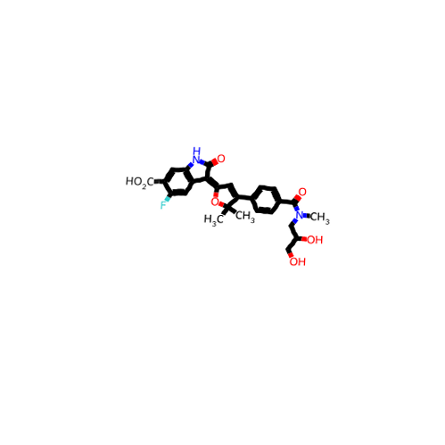 CN(CC(O)CO)C(=O)c1ccc(C2=C/C(=C3\C(=O)Nc4cc(C(=O)O)c(F)cc43)OC2(C)C)cc1